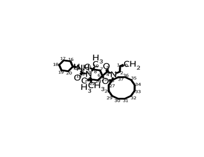 C=CCN1C(=O)C2(CC(C)(C)N(C(=O)NC3CCCCC3)C(C)(C)C2)OC12CCCCCCCCCCC2